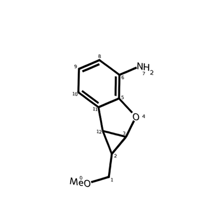 COCC1C2Oc3c(N)cccc3C12